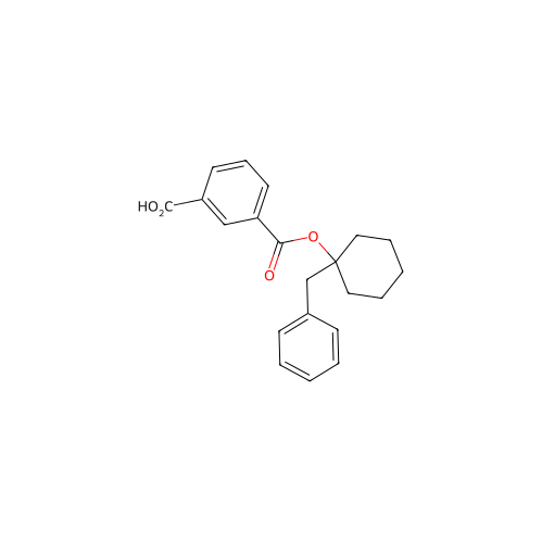 O=C(O)c1cccc(C(=O)OC2(Cc3ccccc3)CCCCC2)c1